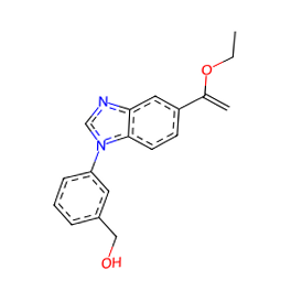 C=C(OCC)c1ccc2c(c1)ncn2-c1cccc(CO)c1